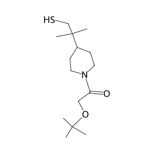 CC(C)(C)OCC(=O)N1CCC(C(C)(C)CS)CC1